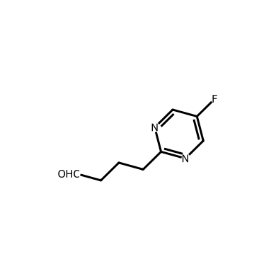 O=CCCCc1ncc(F)cn1